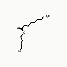 O=C(O)CCCCCCC(=O)OCCCCO